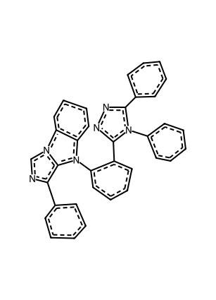 c1ccc(-c2ncn3c4ccccc4n(-c4ccccc4-c4nnc(-c5ccccc5)n4-c4ccccc4)c23)cc1